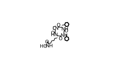 O=C(CCCCC[C@@H]1NC(=O)C2CCCN2C(=O)[C@H](Cc2ccccc2)NC(=O)[C@H](Cc2ccccc2)NC1=O)NO